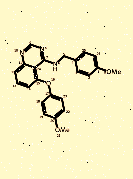 COc1ccc(CNc2ncnc3cccc(Oc4ccc(OC)cc4)c23)cc1